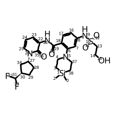 C[Si]1(C)CCN(c2cc(NS(=O)(=O)CCO)ccc2C(=O)Nc2cccn([C@@H]3CC[C@@H](C(F)F)C3)c2=O)CC1